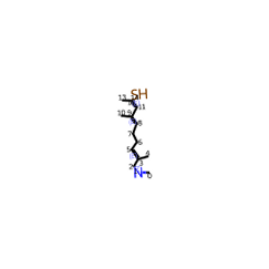 C/N=C\C(C)=C\CC/C=C(C)/C=C(\C)S